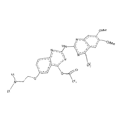 CCN(CC)CCOc1ccc2nc(Nc3nc(C)c4cc(OC)c(OC)cc4n3)nc(OC(=O)C(F)(F)F)c2c1